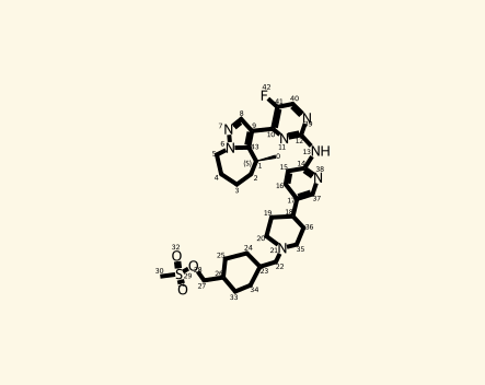 C[C@H]1CCCCn2ncc(-c3nc(Nc4ccc(C5CCN(CC6CCC(COS(C)(=O)=O)CC6)CC5)cn4)ncc3F)c21